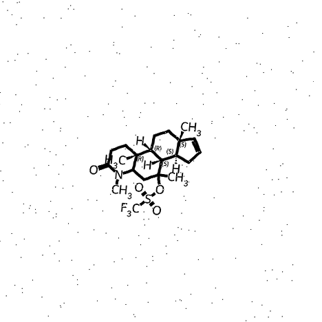 CN1C(=O)CC[C@@]2(C)C1CC(C)(OS(=O)(=O)C(F)(F)F)[C@@H]1[C@H]2CC[C@]2(C)C=CC[C@@H]12